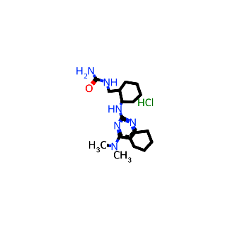 CN(C)c1nc(NC2CCCCC2CNC(N)=O)nc2c1CCCC2.Cl